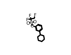 O=S(=O)(Oc1cccc(C2CCCCC2)c1)C(F)(F)CF